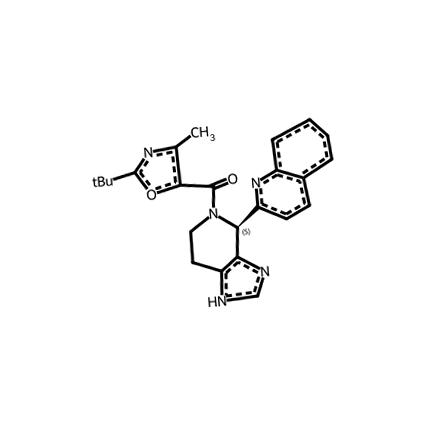 Cc1nc(C(C)(C)C)oc1C(=O)N1CCc2[nH]cnc2[C@@H]1c1ccc2ccccc2n1